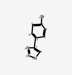 Brc1ccc(C2=C[N]N=N2)cc1